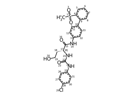 CS(=O)(=O)c1ccccc1-c1ccc(NC(=O)[C@@H](CCO)NC(=O)Nc2ccc(Cl)cc2)cc1